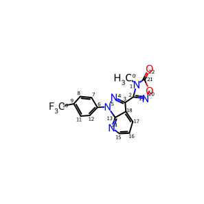 Cn1c(-c2nn(-c3ccc(C(F)(F)F)cc3)c3ncccc23)noc1=O